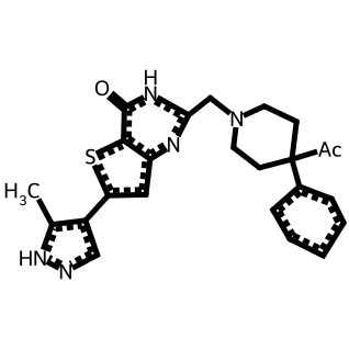 CC(=O)C1(c2ccccc2)CCN(Cc2nc3cc(-c4cn[nH]c4C)sc3c(=O)[nH]2)CC1